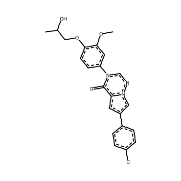 COc1cc(-n2cnn3cc(-c4ccc(Cl)cc4)cc3c2=O)ccc1OCC(C)O